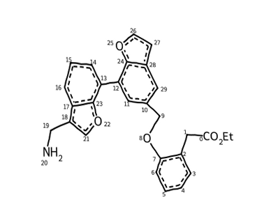 CCOC(=O)Cc1ccccc1OCc1cc(-c2cccc3c(CN)coc23)c2occc2c1